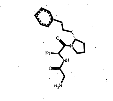 CC(C)[C@H](NC(=O)CN)C(=O)N1CCC[C@H]1CCCc1ccccc1